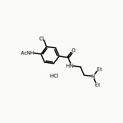 CCN(CC)CCNC(=O)c1ccc(NC(C)=O)c(Cl)c1.Cl